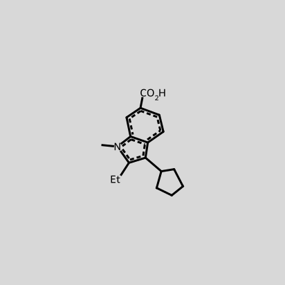 CCc1c(C2CCCC2)c2ccc(C(=O)O)cc2n1C